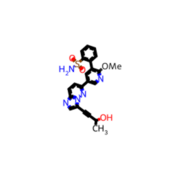 COc1ncc(-c2ccc3ncc(C#CC(C)O)n3n2)cc1-c1ccccc1S(N)(=O)=O